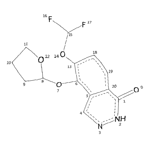 O=c1[nH]ncc2c(OC3CCCO3)c(OC(F)F)ccc12